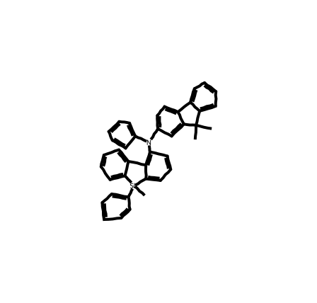 CC1(C)c2ccccc2-c2ccc(N(c3ccccc3)c3cccc4c3-c3ccccc3[Si]4(C)c3ccccc3)cc21